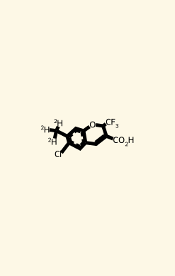 [2H]C([2H])([2H])c1cc2c(cc1Cl)C=C(C(=O)O)C(C(F)(F)F)O2